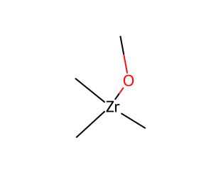 C[O][Zr]([CH3])([CH3])[CH3]